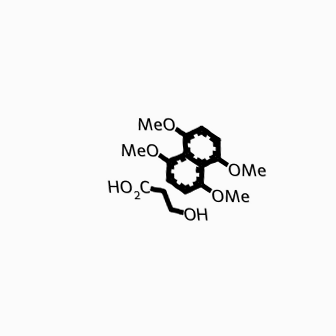 COc1ccc(OC)c2c(OC)ccc(OC)c12.O=C(O)CCO